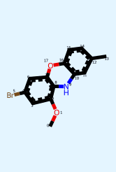 COc1cc(Br)cc2c1Nc1cc(C)ccc1O2